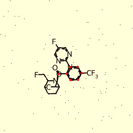 O=C(c1ccccc1-c1ncc(F)cn1)N1C(CF)C2CCC1C(Oc1ccc(C(F)(F)F)cn1)C2